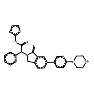 O=C(Nc1nccs1)C(c1ccccc1)N1Cc2ccc(-c3ccc(N4CCNCC4)nc3)cc2C1=O